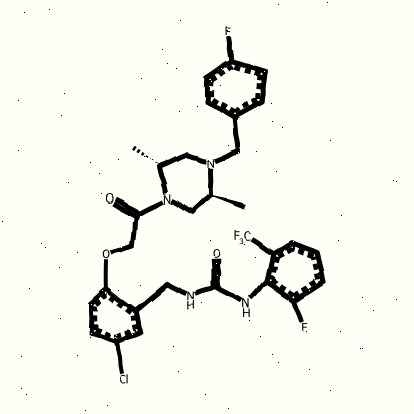 C[C@@H]1CN(Cc2ccc(F)cc2)[C@@H](C)CN1C(=O)COc1ccc(Cl)cc1CNC(=O)Nc1c(F)cccc1C(F)(F)F